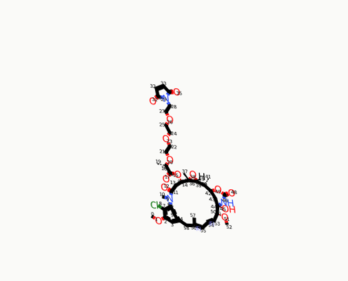 COc1cc2cc(c1Cl)N(C)C(=O)C[C@H](OC(=O)[C@H](C)OCCOCCOCCN1C(=O)C=CC1=O)[C@]1(C)O[C@H]1[C@H](C)C1C[C@@](O)(NC(=O)O1)[C@H](OC)/C=C/C=C(\C)C2